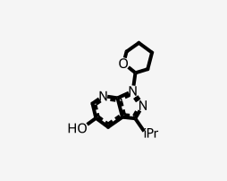 CC(C)c1nn(C2CCCCO2)c2ncc(O)cc12